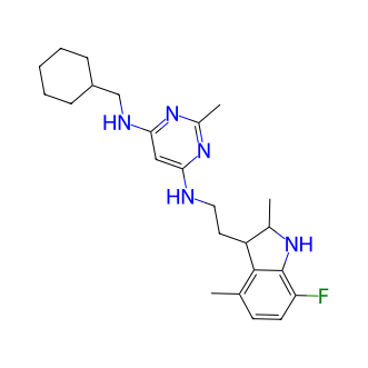 Cc1nc(NCCC2c3c(C)ccc(F)c3NC2C)cc(NCC2CCCCC2)n1